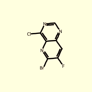 Fc1cc2ncnc(Cl)c2nc1Br